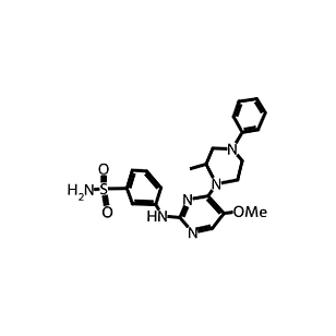 COc1cnc(Nc2cccc(S(N)(=O)=O)c2)nc1N1CCN(c2ccccc2)CC1C